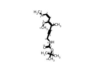 C=N/C=C\C(OC)=C(/C)C#CCNC(=O)OC(C)(C)C